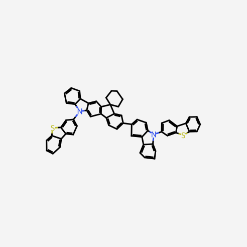 c1ccc2c(c1)sc1cc(-n3c4ccccc4c4cc(-c5ccc6c(c5)C5(CCCCC5)c5cc7c8ccccc8n(-c8ccc9c(c8)sc8ccccc89)c7cc5-6)ccc43)ccc12